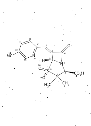 CC1(C)[C@H](C(=O)O)N2C(=O)/C(=C/c3ccc(C#N)cn3)[C@H]2S1(=O)=O